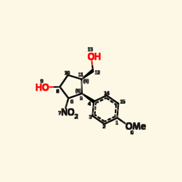 COc1ccc([C@H]2C([N+](=O)[O-])C(O)C[C@H]2CO)cc1